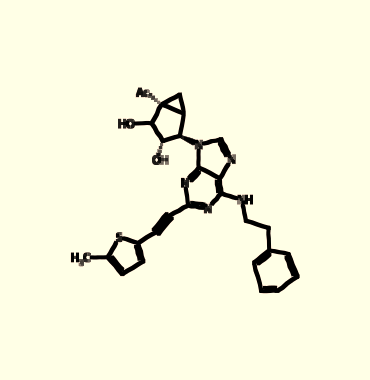 CC(=O)[C@]12CC1[C@@H](n1cnc3c(NCCc4ccccc4)nc(C#Cc4ccc(C)s4)nc31)[C@H](O)C2O